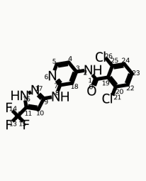 O=C(Nc1ccnc(Nc2cc(C(F)(F)F)[nH]n2)c1)c1c(Cl)cccc1Cl